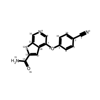 N#Cc1ccc(Oc2cncc3sc(C(N)=O)cc23)cc1